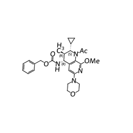 COc1nc(N2CCOCC2)cc2c1N(C(C)=O)[C@@H](C1CC1)[C@H](C)[C@H]2NC(=O)OCc1ccccc1